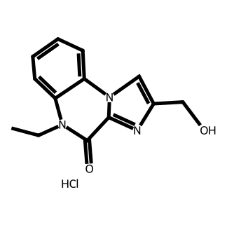 CCn1c(=O)c2nc(CO)cn2c2ccccc21.Cl